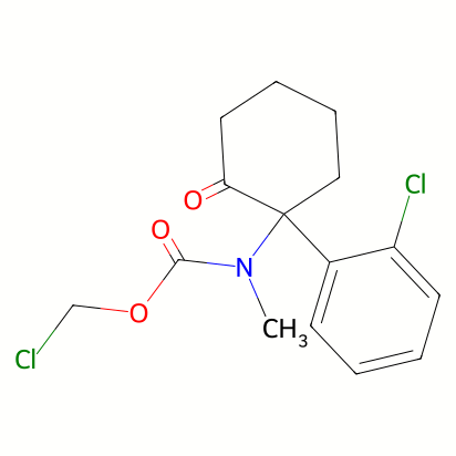 CN(C(=O)OCCl)C1(c2ccccc2Cl)CCCCC1=O